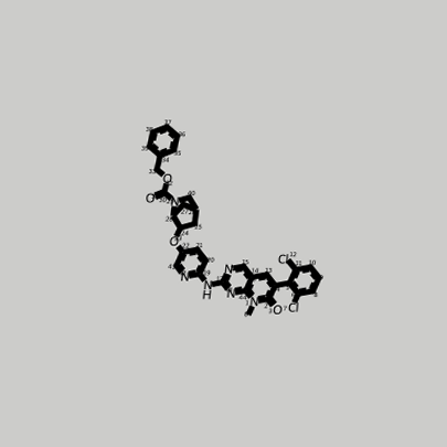 Cn1c(=O)c(-c2c(Cl)cccc2Cl)cc2cnc(Nc3ccc(OC4CC5CC4N(C(=O)OCc4ccccc4)C5)cn3)nc21